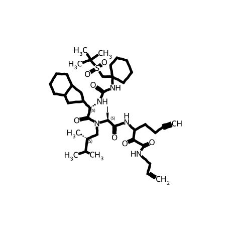 C#CCCC(NC(=O)[C@H](I)N(C[C@@H](C)C(C)C)C(=O)[C@@H](NC(=O)NC1(CS(=O)(=O)C(C)(C)C)CCCCC1)C1CC2CCCCC2C1)C(=O)C(=O)NCC=C